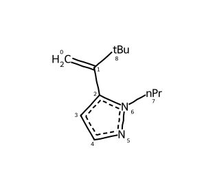 C=C(c1ccnn1CCC)C(C)(C)C